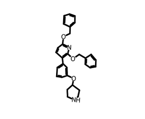 c1ccc(COc2ccc(-c3cccc(OC4CCNCC4)c3)c(OCc3ccccc3)n2)cc1